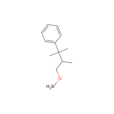 CC(CO[SiH3])C(C)(C)c1ccccc1